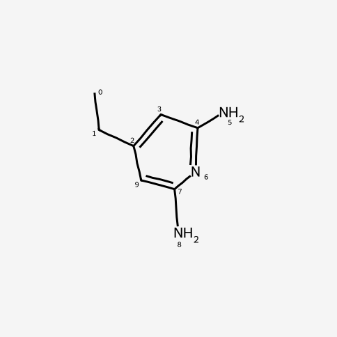 CCc1cc(N)nc(N)c1